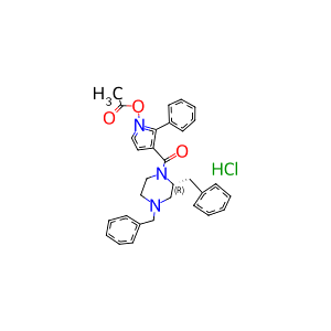 CC(=O)On1ccc(C(=O)N2CCN(Cc3ccccc3)C[C@H]2Cc2ccccc2)c1-c1ccccc1.Cl